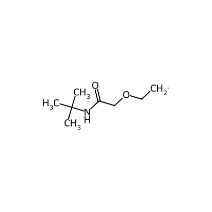 [CH2]COCC(=O)NC(C)(C)C